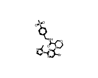 Cc1nccn1-c1ncc(Br)c(N2CCOCC2C(=O)NCc2ccc(S(C)(=O)=O)cc2)n1